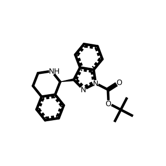 CC(C)(C)OC(=O)n1nc([C@@H]2NCCc3ccccc32)c2ccccc21